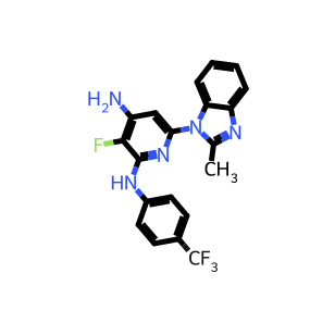 Cc1nc2ccccc2n1-c1cc(N)c(F)c(Nc2ccc(C(F)(F)F)cc2)n1